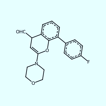 O=CC1C=C(N2CCOCC2)Oc2c(-c3ccc(F)cc3)cccc21